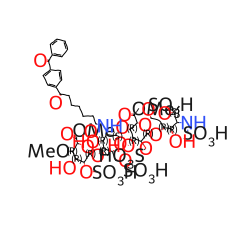 COC(=O)C1O[C@@H](O[C@H]2C(COS(=O)(=O)O)O[C@@H](O[C@H]3C(C(=O)OC)O[C@@H](O[C@H]4C(COS(=O)(=O)O)O[C@@H](C)C(NS(=O)(=O)O)[C@H]4O)C(OS(=O)(=O)O)[C@@H]3O)C(NC(=O)CCCCCC(=O)c3ccc(C(=O)c4ccccc4)cc3)[C@H]2O)C(OS(=O)(=O)O)[C@H](O)[C@H]1OC